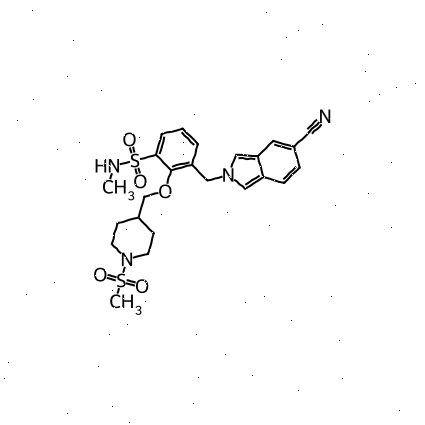 CNS(=O)(=O)c1cccc(Cn2cc3ccc(C#N)cc3c2)c1OCC1CCN(S(C)(=O)=O)CC1